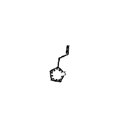 C=CCc1c[c]cs1